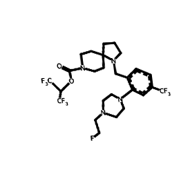 O=C(OC(C(F)(F)F)C(F)(F)F)N1CCC2(CCCN2Cc2ccc(C(F)(F)F)cc2N2CCN(CCF)CC2)CC1